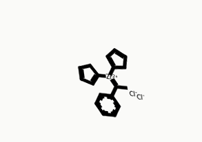 C[C](c1ccccc1)=[Zr+2]([C]1=CC=CC1)[C]1=CC=CC1.[Cl-].[Cl-]